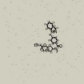 CN(C(=O)c1ccc(Cn2ncc3ccccc32)cc1)[C@H]1CNC(OC(=O)C(C)(C)C)C1